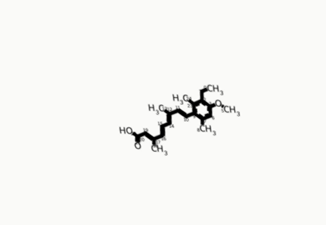 CCc1c(OC)cc(C)c(C=CC(C)=CC=CC(C)=CC(=O)O)c1C